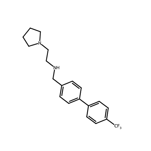 FC(F)(F)c1ccc(-c2ccc(CNCCN3CCCC3)cc2)cc1